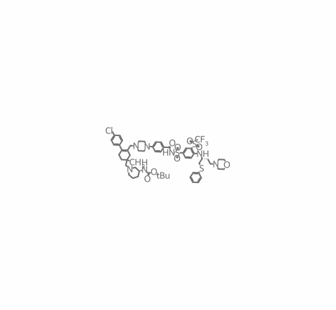 CC1(CN2CCC[C@H](NC(=O)OC(C)(C)C)C2)CCC(c2ccc(Cl)cc2)=C(CN2CCN(c3ccc(C(=O)NS(=O)(=O)c4ccc(N[C@H](CCN5CCOCC5)CSc5ccccc5)c(S(=O)(=O)C(F)(F)F)c4)cc3)CC2)C1